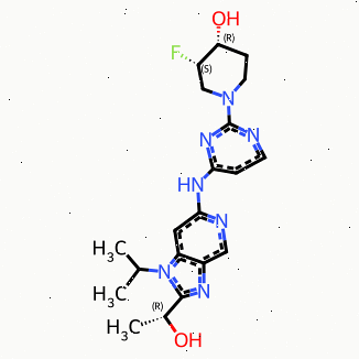 CC(C)n1c([C@@H](C)O)nc2cnc(Nc3ccnc(N4CC[C@@H](O)[C@@H](F)C4)n3)cc21